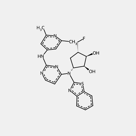 Cc1cc(Nc2nccc(N(c3nc4ccccc4s3)[C@@H]3C[C@H](CF)[C@@H](O)[C@H]3O)n2)cc(C)n1